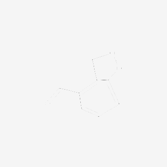 O=Cc1cccc2c1COO2